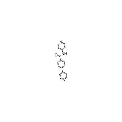 O=C(Nc1ccncc1)c1ccc(-c2ccncc2)cc1